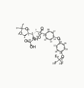 CC1(C)OC[C@H]([C@H](CS(=O)(=O)c2ccc(Oc3ccc(OC(F)(F)F)cc3)cc2)NC(=O)O)O1